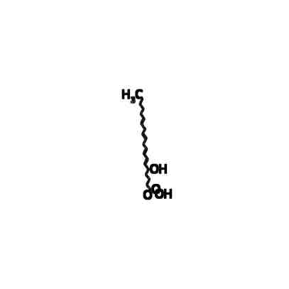 CCCCCC=CCC=CCC=CC=CC(O)CCCC(=O)OO